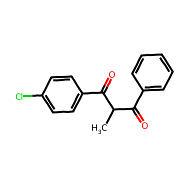 CC(C(=O)c1ccccc1)C(=O)c1ccc(Cl)cc1